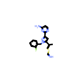 C/C(=C\SC=N)c1cc(-c2nccc(N)n2)nn1Cc1ccccc1F